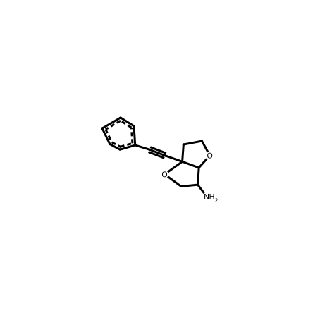 NC1COC2(C#Cc3ccccc3)CCOC12